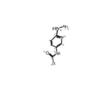 CCC(=O)Nc1ccc(NN)nc1